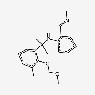 C/N=C/c1ccccc1PC(C)(C)c1cccc(C)c1OCOC